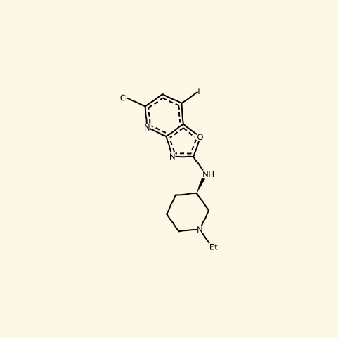 CCN1CCC[C@@H](Nc2nc3nc(Cl)cc(I)c3o2)C1